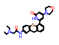 CCN(CC)CC(=O)Nc1ccc2c(c1)Cc1cccc(-c3cc(N4CCOCC4)cc(=O)[nH]3)c1S2